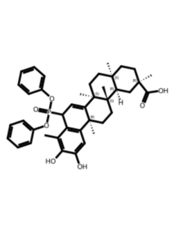 Cc1c(O)c(O)cc2c1C(P(=O)(Oc1ccccc1)Oc1ccccc1)C=C1[C@@]2(C)CC[C@@]2(C)[C@@H]3C[C@](C)(C(=O)O)CC[C@]3(C)CC[C@]12C